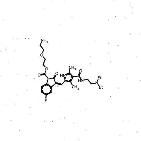 CCN(CC)CCNC(=O)c1c(C)[nH]c(/C=C2\C(=O)N(C(=O)OCCOCCN)c3ccc(F)cc32)c1C